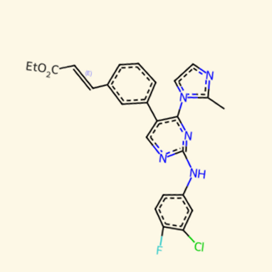 CCOC(=O)/C=C/c1cccc(-c2cnc(Nc3ccc(F)c(Cl)c3)nc2-n2ccnc2C)c1